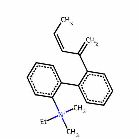 C=C(/C=C\C)c1ccccc1-c1ccccc1[N+](C)(C)CC